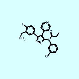 CCC(=O)N(c1cccc(Cl)c1)c1onc(-c2ccc(F)c(CN)c2)c1-c1ccncc1